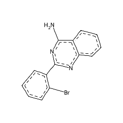 Nc1nc(-c2ccccc2Br)nc2ccccc12